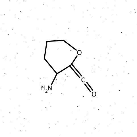 NC1CCCOC1=C=O